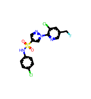 O=S(=O)(Nc1ccc(Cl)cc1)c1cnn(-c2ncc(CF)cc2Cl)c1